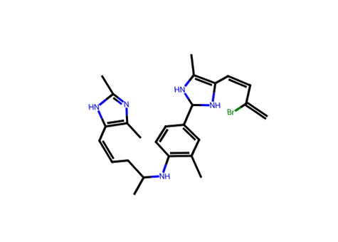 C=C(Br)/C=C\C1=C(C)NC(c2ccc(NC(C)C/C=C\c3[nH]c(C)nc3C)c(C)c2)N1